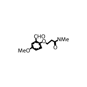 CNC(=O)CCOc1ccc(OC)cc1C=O